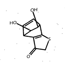 O=C1CSC2=C1C1C=CC2C(O)C1O